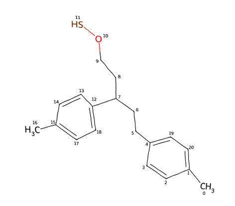 Cc1ccc(CCC(CCOS)c2ccc(C)cc2)cc1